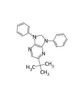 CC(C)(C)c1cnc2c(n1)N(c1ccccc1)CN2c1ccccc1